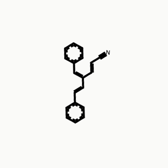 N#CC=CC(C=Cc1ccccc1)=Cc1ccccc1